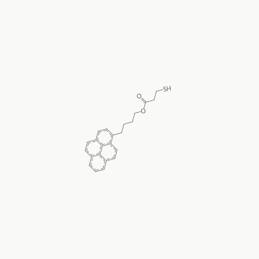 O=C(CCS)OCCCCc1ccc2ccc3cccc4ccc1c2c34